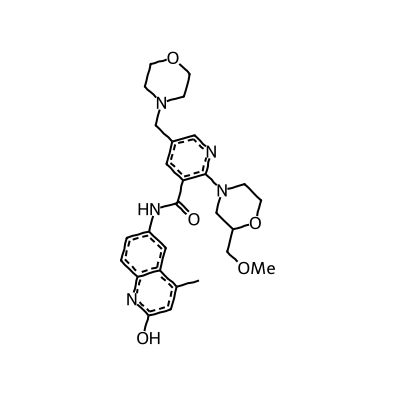 COCC1CN(c2ncc(CN3CCOCC3)cc2C(=O)Nc2ccc3nc(O)cc(C)c3c2)CCO1